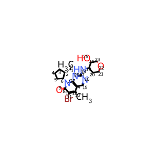 CC[C@H]1CCC[C@H]1n1c(=O)c(Br)c(C)c2cnc(N[C@@H]3CCOC[C@H]3O)nc21